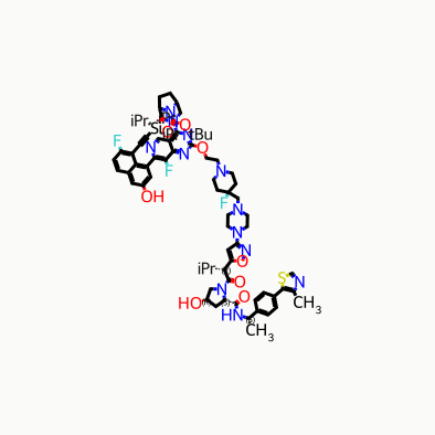 Cc1ncsc1-c1ccc([C@H](C)NC(=O)[C@@H]2C[C@@H](O)CN2C(=O)[C@@H](c2cc(N3CCN(CC4(F)CCN(CCOc5nc(N6CC7CCC(C6)N7C(=O)OC(C)(C)C)c6cnc(-c7cc(O)cc8ccc(F)c(C#C[Si](C(C)C)(C(C)C)C(C)C)c78)c(F)c6n5)CC4)CC3)no2)C(C)C)cc1